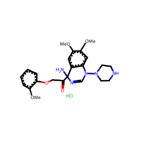 COc1cc2c(cc1OC)C(N)(C(=O)COc1ccccc1OC)N=CN2N1CCNCC1.Cl